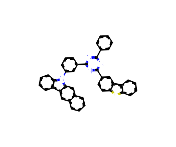 c1ccc(-c2nc(-c3cccc(-n4c5ccccc5c5cc6ccccc6cc54)c3)nc(-c3ccc4sc5ccccc5c4c3)n2)cc1